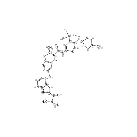 C[C@@H]1Cc2ccc(Oc3ccnc4[nH]c(C(=O)N(C)C)cc34)cc2CN1C(=O)Nc1cnc(OC2CCN(C)CC2)c(C(F)(F)F)c1